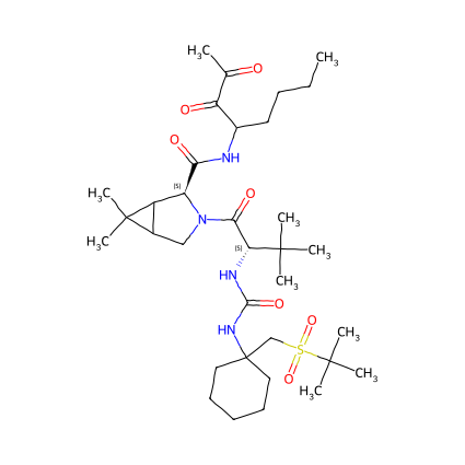 CCCCC(NC(=O)[C@@H]1C2C(CN1C(=O)[C@@H](NC(=O)NC1(CS(=O)(=O)C(C)(C)C)CCCCC1)C(C)(C)C)C2(C)C)C(=O)C(C)=O